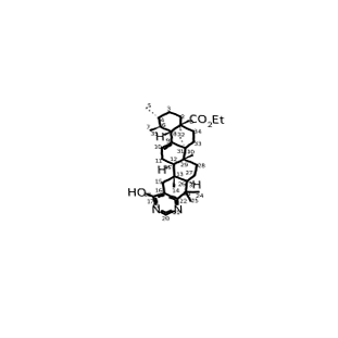 CCOC(=O)[C@]12CC[C@@H](C)[C@H](C)[C@H]1C1=CC[C@@H]3[C@@]4(C)Cc5c(O)ncnc5C(C)(C)[C@@H]4CC[C@@]3(C)[C@]1(C)CC2